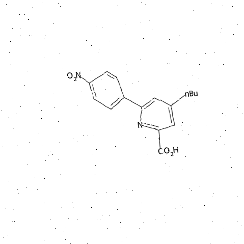 CCCCc1cc(C(=O)O)nc(-c2ccc([N+](=O)[O-])cc2)c1